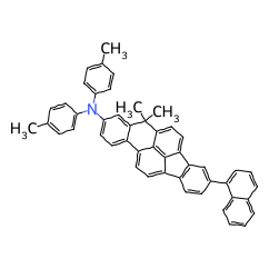 Cc1ccc(N(c2ccc(C)cc2)c2ccc3c(c2)C(C)(C)c2ccc4c5c(ccc-3c25)-c2ccc(-c3cccc5ccccc35)cc2-4)cc1